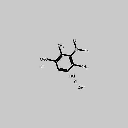 CCN(CC)c1c(C)ccc(OC)c1C.Cl.[Cl-].[Cl-].[Zn+2]